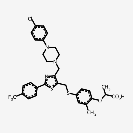 Cc1cc(SCc2sc(-c3ccc(C(F)(F)F)cc3)nc2CN2CCN(c3ccc(Cl)cc3)CC2)ccc1OC(C)C(=O)O